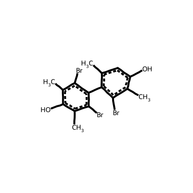 Cc1cc(O)c(C)c(Br)c1-c1c(Br)c(C)c(O)c(C)c1Br